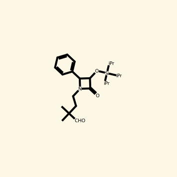 CC(C)[Si](OC1C(=O)N(CCC(C)(C)C=O)C1c1ccccc1)(C(C)C)C(C)C